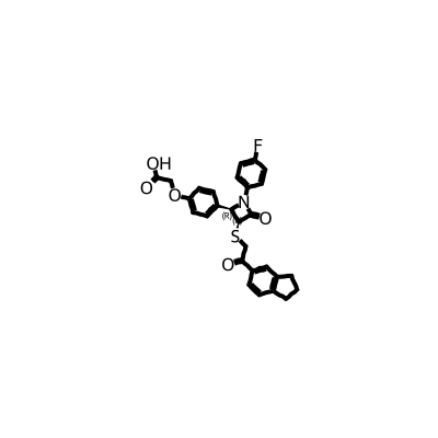 O=C(O)COc1ccc([C@@H]2[C@@H](SCC(=O)c3ccc4c(c3)CCC4)C(=O)N2c2ccc(F)cc2)cc1